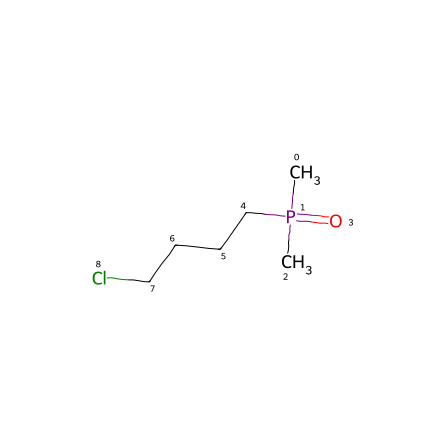 CP(C)(=O)CCCCCl